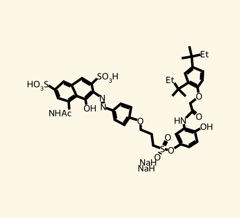 CCC(C)(C)c1ccc(OCC(=O)Nc2cc(OS(=O)(=O)CCCOc3ccc(/N=N/c4c(S(=O)(=O)O)cc5cc(S(=O)(=O)O)cc(NC(C)=O)c5c4O)cc3)ccc2O)c(C(C)(C)CC)c1.[NaH].[NaH]